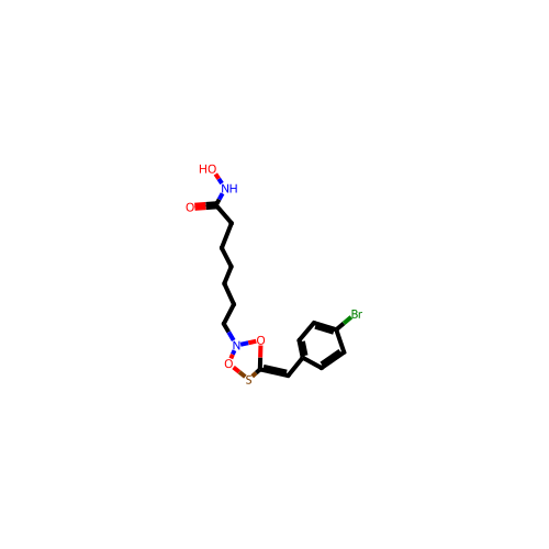 O=C(CCCCCCN1OSC(=Cc2ccc(Br)cc2)O1)NO